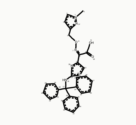 Cn1ccc(CON=C(C(=O)O)c2csc(NC(c3ccccc3)(c3ccccc3)c3ccccc3)n2)n1